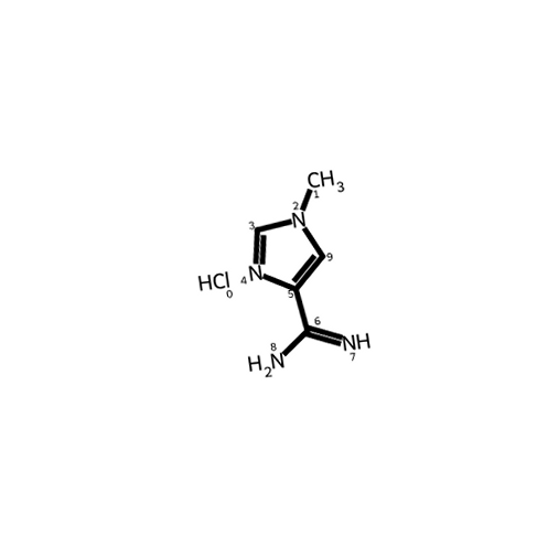 Cl.Cn1cnc(C(=N)N)c1